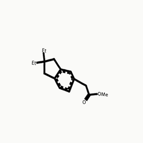 CCC1(CC)Cc2ccc(CC(=O)OC)cc2C1